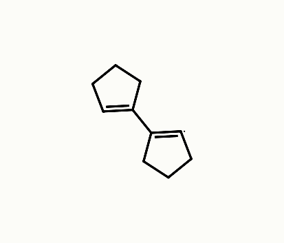 [C]1=C(C2=CCCC2)CCC1